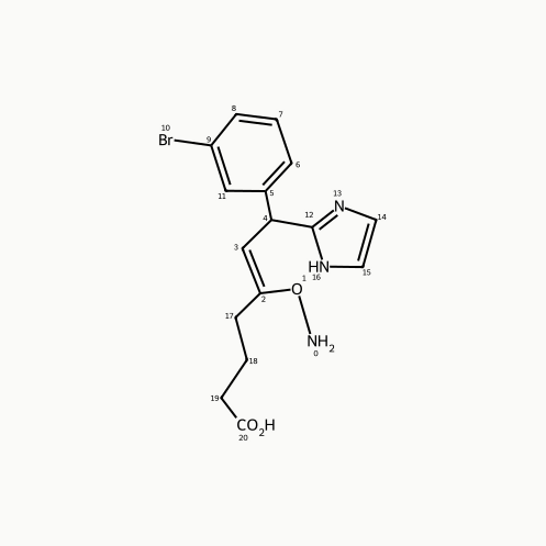 NOC(=CC(c1cccc(Br)c1)c1ncc[nH]1)CCCC(=O)O